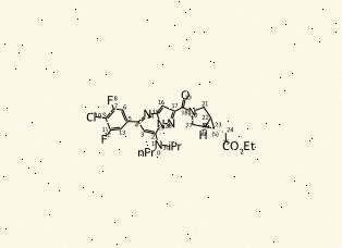 CCCN(c1cc(-c2cc(F)c(Cl)c(F)c2)nc2cc(C(=O)N3CC4[C@H](CC(=O)OCC)[C@H]4C3)nn12)C(C)C